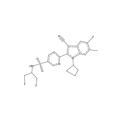 Cc1cc2c(cc1F)c(C#N)c(-c1ccc(S(=O)(=O)NC(CF)CF)cn1)n2C1CCC1